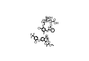 CCOC(=O)C(C)OC(=O)c1cc(Oc2ccc(C(F)(F)F)cc2Cl)ccc1[N+](=O)[O-].O=C(O)CNCP(=O)(O)O.O=C(O)CSc1cc(N=c2sc(=O)n3n2CCCC3)c(F)cc1Cl